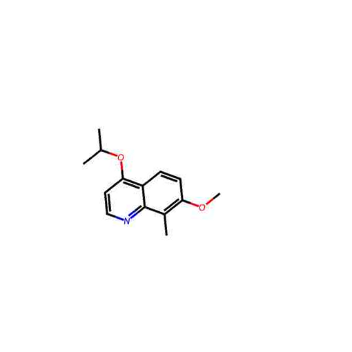 COc1ccc2c(OC(C)C)ccnc2c1C